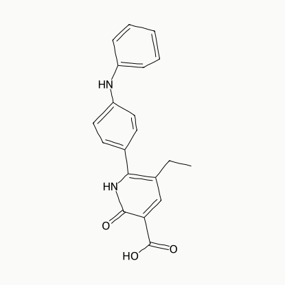 CCc1cc(C(=O)O)c(=O)[nH]c1-c1ccc(Nc2ccccc2)cc1